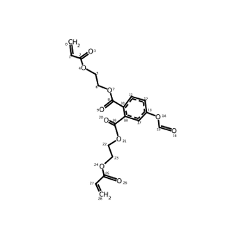 C=CC(=O)OCCOC(=O)c1ccc(OC=O)cc1C(=O)OCCOC(=O)C=C